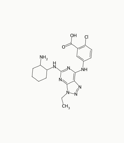 CCn1nnc2c(Nc3ccc(Cl)c(C(=O)O)c3)nc(NC3CCCCC3N)nc21